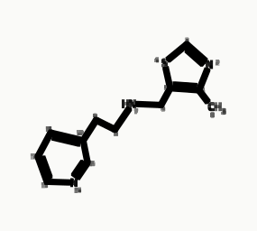 Cc1ncsc1CNCCc1cccnc1